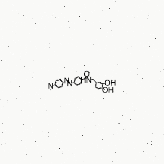 CN(C)c1ccc(/N=N/c2ccc(C(=O)NCc3ccc(O)c(O)c3)cc2)cc1